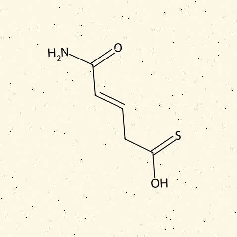 NC(=O)C=CCC(O)=S